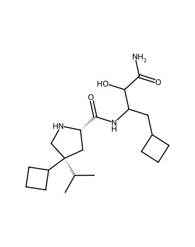 CC(C)[C@]1(C2CCC2)CN[C@H](C(=O)NC(CC2CCC2)C(O)C(N)=O)C1